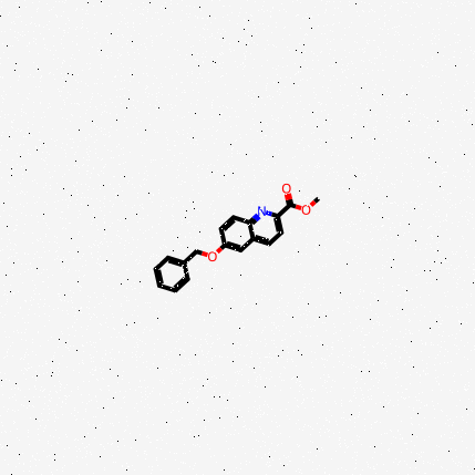 COC(=O)c1ccc2cc(OCc3ccccc3)ccc2n1